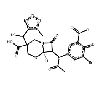 CC(=O)N(C1C(=O)N2CC(C(=O)O)(C(S)c3nnnn3C)CS[C@H]12)n1cc(Br)c(=O)c([N+](=O)[O-])c1